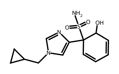 NS(=O)(=O)C1(c2cn(CC3CC3)cn2)C=CC=CC1O